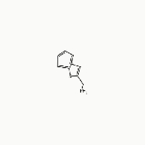 PCc1cc2ccccc2s1